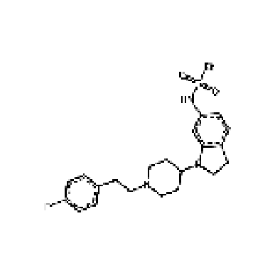 CCS(=O)(=O)Nc1ccc2c(c1)N(C1CCN(CCc3ccc(F)cc3)CC1)CC2